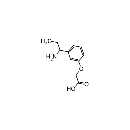 CCC(N)c1cccc(OCC(=O)O)c1